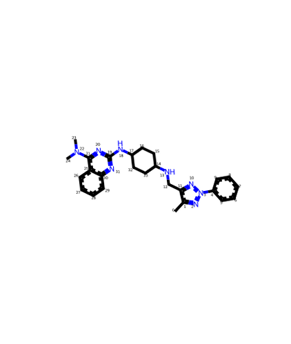 Cc1nn(-c2ccccc2)nc1CNC1CCC(Nc2nc(N(C)C)c3ccccc3n2)CC1